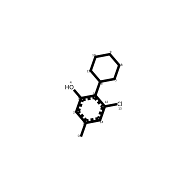 Cc1cc(O)c(C2CCCCC2)c(Cl)c1